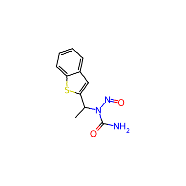 CC(c1cc2ccccc2s1)N(N=O)C(N)=O